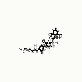 Cc1cc(Cl)c(NC(=O)Nc2nc(=O)c(-c3ccc(CNCCCN)c(F)c3)c[nH]2)c(Cl)c1